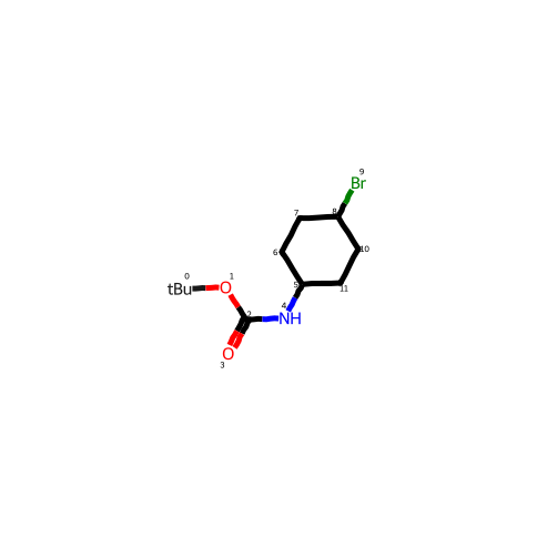 CC(C)(C)OC(=O)NC1[CH]CC(Br)CC1